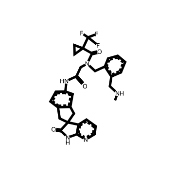 CNCc1ccccc1CN(CC(=O)Nc1ccc2c(c1)CC1(C2)C(=O)Nc2ncccc21)C(=O)C1(C(F)(F)F)CC1